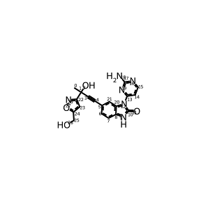 CC(O)(C#Cc1ccc2[nH]c(=O)n(-c3ccnc(N)n3)c2c1)c1cc(CO)on1